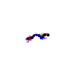 O=C1CCC(N2C(=O)c3ccc(N4CC(CN5CC(N6CCC(Nc7ncnc8[nH]cc(C(=O)c9ccc(Oc%10ccccc%10)cc9Cl)c78)CC6)C5)C4)cc3C2=O)C(=O)N1